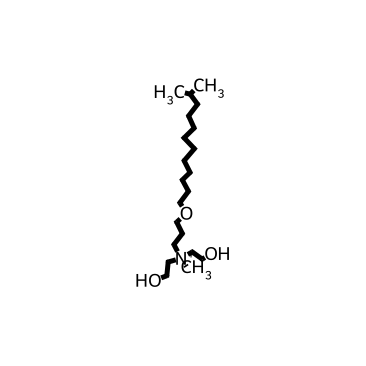 CC(C)CCCCCCCCCCOCCC[N+](C)(CCO)CCO